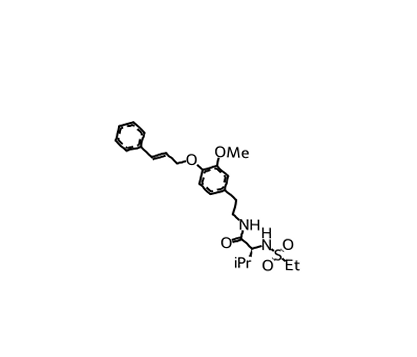 CCS(=O)(=O)N[C@H](C(=O)NCCc1ccc(OCC=Cc2ccccc2)c(OC)c1)C(C)C